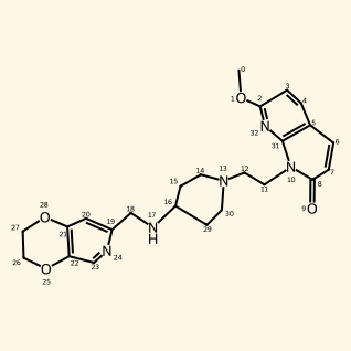 COc1ccc2ccc(=O)n(CCN3CCC(NCc4cc5c(cn4)OCCO5)CC3)c2n1